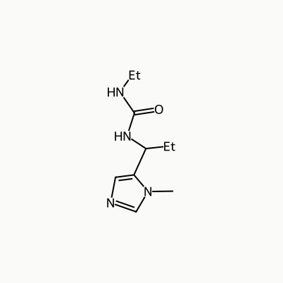 CCNC(=O)NC(CC)c1cncn1C